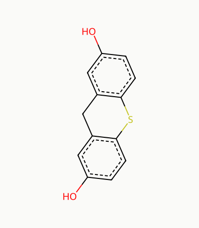 Oc1ccc2c(c1)Cc1cc(O)ccc1S2